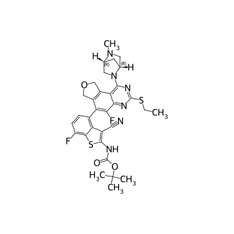 CCSc1nc(N2C[C@H]3C[C@@H]2CN3C)c2c3c(c(-c4ccc(F)c5sc(NC(=O)OC(C)(C)C)c(C#N)c45)c(F)c2n1)COC3